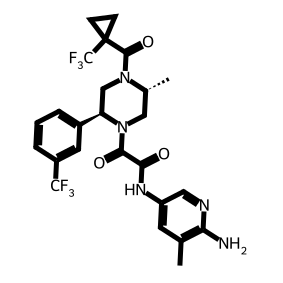 Cc1cc(NC(=O)C(=O)N2C[C@@H](C)N(C(=O)C3(C(F)(F)F)CC3)C[C@@H]2c2cccc(C(F)(F)F)c2)cnc1N